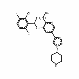 C[C@@H](Oc1cc(-c2cnn(C3CCNCC3)c2)cnc1NC(C)(C)C)c1c(Cl)ccc(F)c1Cl